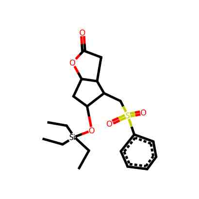 CC[Si](CC)(CC)OC1CC2OC(=O)CC2C1CS(=O)(=O)c1ccccc1